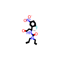 C=CCN(CC=C)C(=O)N[C@@](C)(CC=O)c1cc([N+](=O)[O-])ccc1F